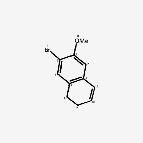 COc1cc2c(cc1Br)CCC=C2